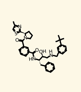 Cc1csc([C@H]2CCCN2C(=O)c2cccc(C(=O)N[C@@H](Cc3ccccc3)[C@@H](O)CNCc3cccc(C(C)(C)C)c3)c2)n1